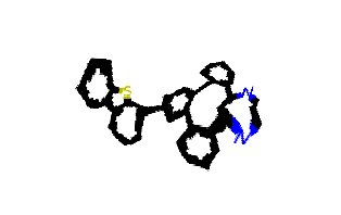 c1ccc2c(c1)-c1ccc(-c3cccc4c3sc3ccccc34)cc1-c1ccccc1-c1nccnc1-2